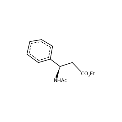 CCOC(=O)C[C@@H](NC(C)=O)c1ccccc1